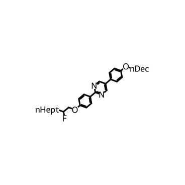 CCCCCCCCCCOc1ccc(-c2cnc(-c3ccc(OCC(F)CCCCCCC)cc3)nc2)cc1